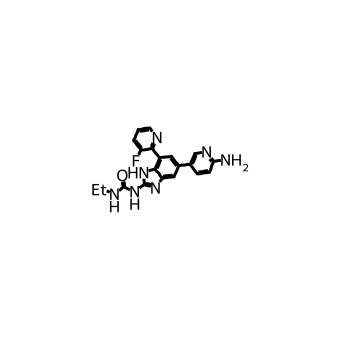 CCNC(=O)Nc1nc2cc(-c3ccc(N)nc3)cc(-c3ncccc3F)c2[nH]1